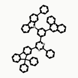 c1ccc(-c2ccc3c4ccccc4n(-c4cc(-c5cc(-c6ccc7c(c6)C(c6ccccc6)(c6ccccc6)c6ccccc6-7)nc(-c6ccccc6)n5)cc(-c5cc6ccccc6c6ccccc56)c4)c3c2)cc1